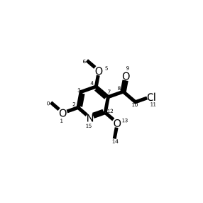 COc1cc(OC)c(C(=O)CCl)c(OC)n1